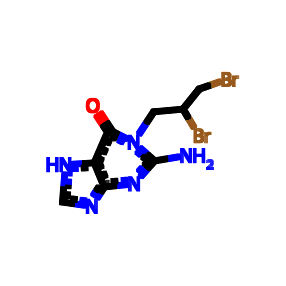 Nc1nc2nc[nH]c2c(=O)n1CC(Br)CBr